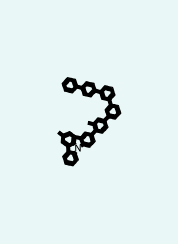 Cc1cc2c3ccccc3n3c4ccc(-c5ccc(-c6cccc(-c7cccc(-c8ccc(-c9ccccc9)cc8)c7)c6)cc5C)cc4c(c1)c23